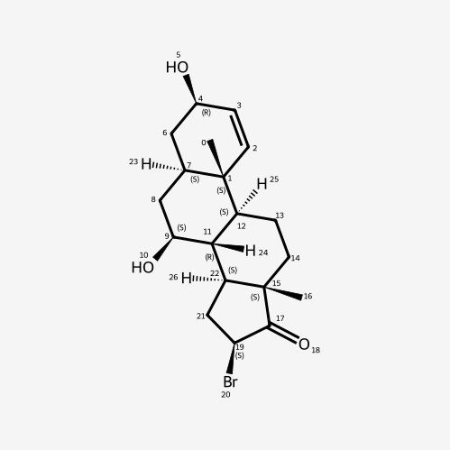 C[C@]12C=C[C@H](O)C[C@@H]1C[C@H](O)[C@@H]1[C@@H]2CC[C@]2(C)C(=O)[C@@H](Br)C[C@@H]12